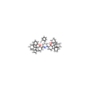 Cc1ccccc1[C@@H]1CC(C2=CC=CC3C2Oc2ccccc2C3(C2=CCCC=C2)C2=CC=CC2)=NC(C2C=CCC3C2OC2=C(C=CCC2)C3(C2C=CC=CC2)C2(C)C=CCCC2)C1